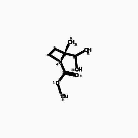 CC(C)(C)OC(=O)N1CC[C@]1(C)C(O)O